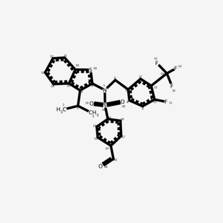 CC(C)c1c(N(Cc2ccc(F)c(C(F)(F)F)c2)S(=O)(=O)c2ccc(C=O)cc2)sc2ccccc12